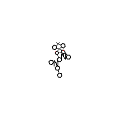 CC1(C)c2ccccc2C2(c3ccccc31)c1cccc3c1-c1c2ccc2c4ccccc4n(c12)-c1ccc(N(c2ccccc2)c2ccc(-c4ccccc4)cc2)cc1-3